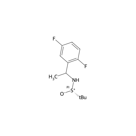 CC(N[S@@+]([O-])C(C)(C)C)c1cc(F)ccc1F